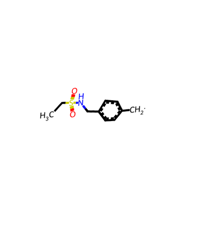 [CH2]c1ccc(CNS(=O)(=O)CC)cc1